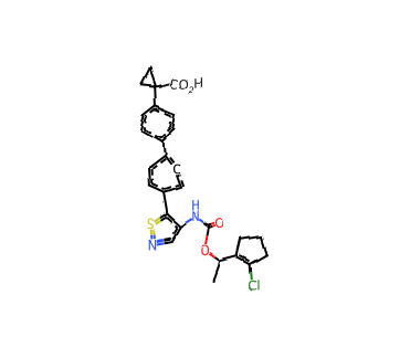 CC(OC(=O)Nc1cnsc1-c1ccc(-c2ccc(C3(C(=O)O)CC3)cc2)cc1)C1=C(Cl)CCC1